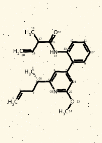 C=CC[C@H](C)c1cc(-c2ccccc2NC(=O)C(C)C=C)cc(OC)n1